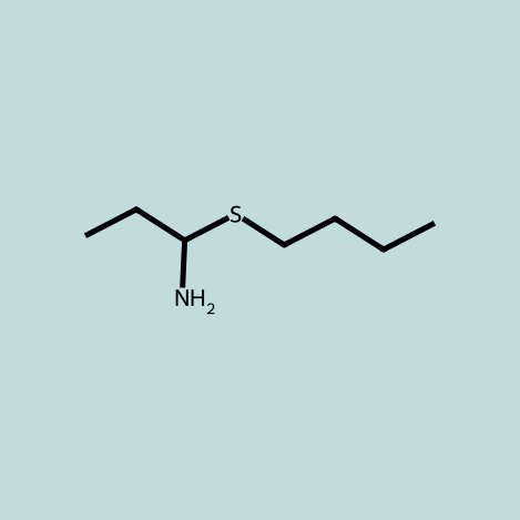 CCCCSC(N)CC